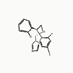 Fc1ccc([C@]2(Cn3cncn3)OC[C@@H]2c2ccccc2Cl)c(F)c1